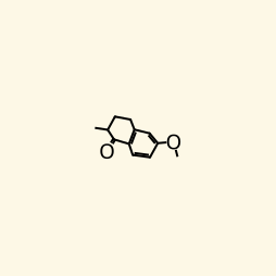 COc1ccc2c(c1)CCC(C)C2=O